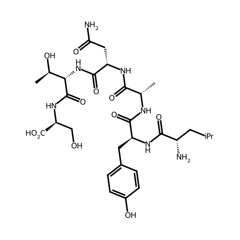 CC(C)C[C@H](N)C(=O)N[C@@H](Cc1ccc(O)cc1)C(=O)N[C@@H](C)C(=O)N[C@@H](CC(N)=O)C(=O)N[C@H](C(=O)N[C@@H](CO)C(=O)O)[C@@H](C)O